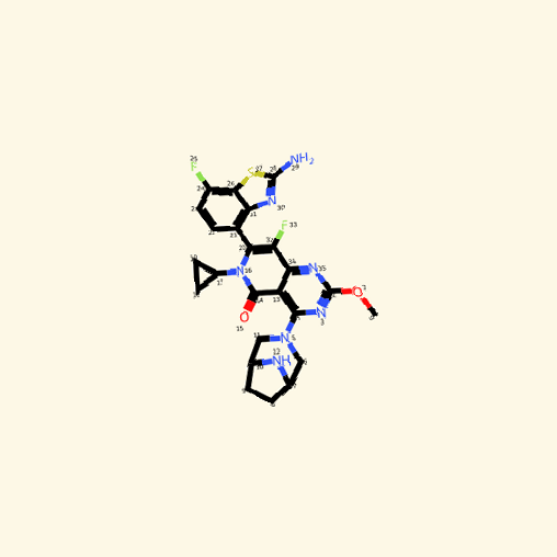 COc1nc(N2CC3CCC(C2)N3)c2c(=O)n(C3CC3)c(-c3ccc(F)c4sc(N)nc34)c(F)c2n1